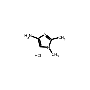 Cc1nc(N)cn1C.Cl